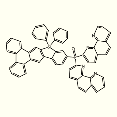 O=P(c1ccc2c(c1)[Si](c1ccccc1)(c1ccccc1)c1cc3c4ccccc4c4ccccc4c3cc1-2)(c1ccc2ccc3cccnc3c2n1)c1ccc2ccc3cccnc3c2n1